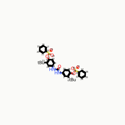 CC(C)(C)c1cc(NC(=O)Nc2ccc(OS(=O)(=O)c3ccccc3)c(C(C)(C)C)c2)ccc1OS(=O)(=O)c1ccccc1